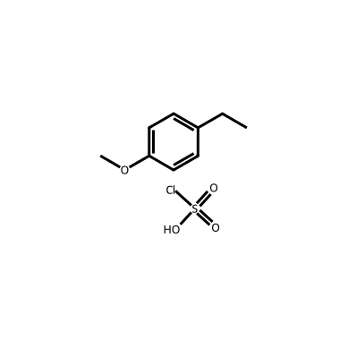 CCc1ccc(OC)cc1.O=S(=O)(O)Cl